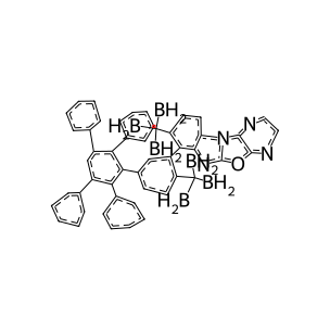 BC(B)(B)c1ccc(-c2c(-c3ccccc3)c(-c3ccccc3)cc(-c3ccccc3)c2-c2ccccc2)cc1-c1c(C(B)(B)B)ccc2c1nc1oc3nccnc3n12